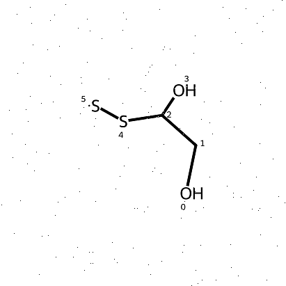 OCC(O)S[S]